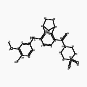 COc1cc(Nc2ncc(C(=O)N3CCS(=O)(=O)CC3)c3c2C2CCC3C2)ccc1F